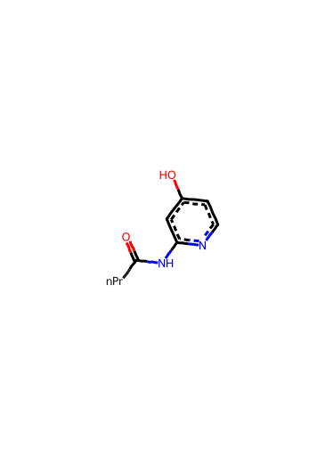 CCCC(=O)Nc1cc(O)ccn1